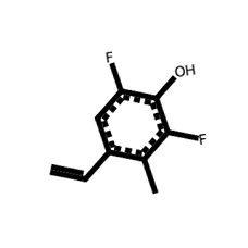 C=Cc1cc(F)c(O)c(F)c1C